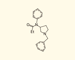 CCC(=O)N(c1ccccc1)C1CCN(Cc2ccccc2)C1